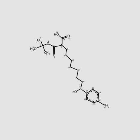 CC(C)(C)OC(=O)N(CCCCCCC[S+]([O-])c1ccc(N)cc1)C(=O)O